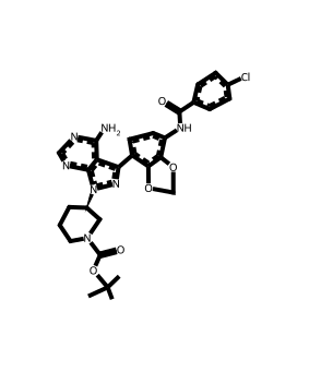 CC(C)(C)OC(=O)N1CCC[C@@H](n2nc(-c3ccc(NC(=O)c4ccc(Cl)cc4)c4c3OCO4)c3c(N)ncnc32)C1